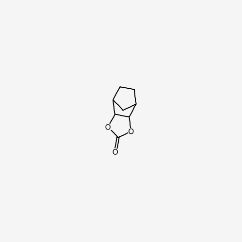 O=C1OC2C3CCC(C3)C2O1